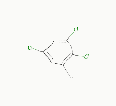 [CH2]c1cc(Cl)cc(Cl)c1Cl